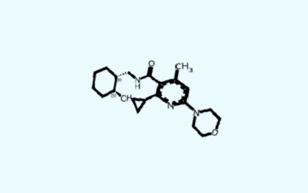 Cc1cc(N2CCOCC2)nc(C2CC2)c1C(=O)NC[C@H]1CCCC[C@@H]1O